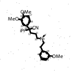 COc1c#ccc(CCN(C)CCCC(C#N)(c2ccc(OC)c(OC)c2)C(C)C)c1